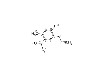 C=CCc1cc([N+](=O)[O-])c(C)cc1F